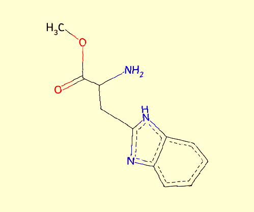 COC(=O)C(N)Cc1nc2ccccc2[nH]1